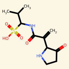 C=C(C(=O)NC(C(C)C)S(=O)(=O)O)C1NCCC1=O